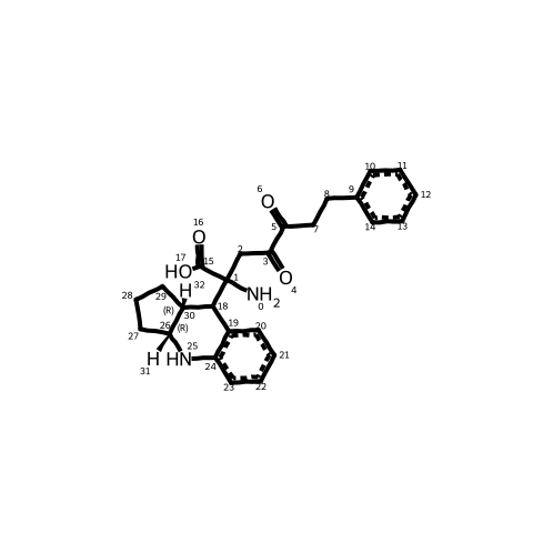 NC(CC(=O)C(=O)CCc1ccccc1)(C(=O)O)C1c2ccccc2N[C@@H]2CCC[C@H]12